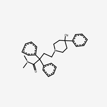 CN(C)C(=O)C(CCN1CCC(C#N)(c2ccccc2)CC1)(c1ccccc1)c1ccccc1